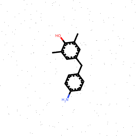 Cc1cc(Cc2ccc(N)cc2)cc(C)c1O